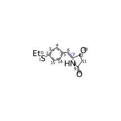 CCSc1ccc(/C=C2\NC(=O)CC2=O)cc1